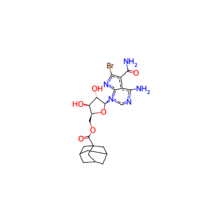 NC(=O)c1c(Br)nc2n([C@H]3O[C@@H](COC(=O)C45CC6CC(CC(C6)C4)C5)[C@@H](O)[C@@H]3O)cnc(N)c1-2